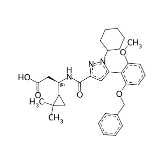 COc1cccc(OCc2ccccc2)c1-c1cc(C(=O)N[C@H](CC(=O)O)C2CC2(C)C)nn1C1CCCCC1